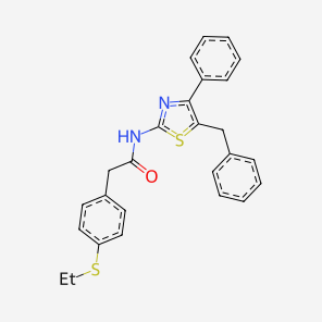 CCSc1ccc(CC(=O)Nc2nc(-c3ccccc3)c(Cc3ccccc3)s2)cc1